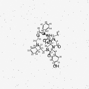 C=CCN1CC(=O)N2[C@@H](Cc3ccc(O)cc3)C(=O)N(Cc3cn(CCOC(C)=O)c4ccccc34)C[C@@H]2N1C(=O)NCc1ccccc1